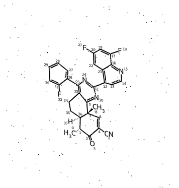 C[C@H]1C(=O)C(C#N)=C[C@@]2(C)c3nc(-c4ccnc5c(F)cc(F)cc45)nc(-c4ccccc4F)c3CC[C@H]12